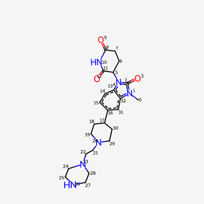 Cn1c(=O)n(C2CCC(=O)NC2=O)c2ccc(C3CCN(CCN4CCNCC4)CC3)cc21